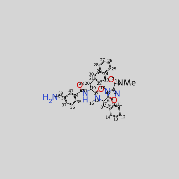 CNC(=O)c1noc([C@@H](Cc2ccccc2)N(C)C(=O)C(Cc2ccc3ccccc3c2)NC(=O)c2cccc(CN)c2)n1